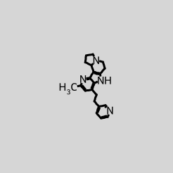 Cc1cc(CCc2cccnc2)c2[nH]c3c(c2n1)C1CCCN1CC3